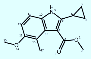 COC(=O)c1c(C2CC2)[nH]c2ccc(OC)c(C)c12